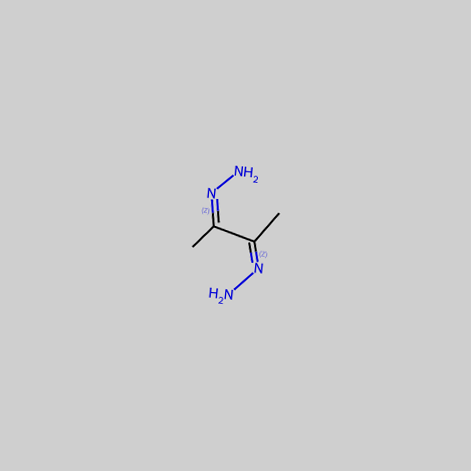 CC(=N/N)/C(C)=N\N